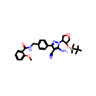 COc1ccccc1C(=O)NCc1ccc(-c2nn(C3COCC3O[Si](C)(C)C(C)(C)C)c(N)c2C#N)cc1